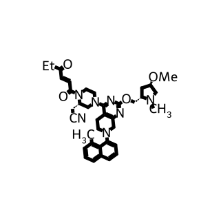 CCC(=O)/C=C/C(=O)N1CCN(c2nc(OC[C@@H]3C[C@@H](OC)CN3C)nc3c2CCN(c2cccc4cccc(C)c24)C3)C[C@@H]1CC#N